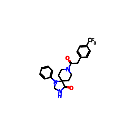 O=C(Cc1ccc(C(F)(F)F)cc1)N1CCC2(CC1)C(=O)NCN2c1ccccc1